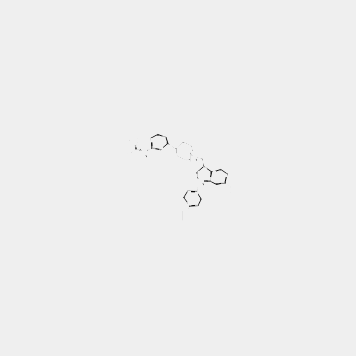 CC(C)C(=O)Nc1cccc(C2CCN(Cc3cn(-c4ccc(F)cc4)c4cc(Cl)ccc34)CC2)c1